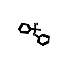 CC(S)(Oc1ccccc1)c1ccccc1